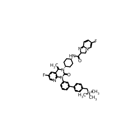 C=C1c2cc(F)cnc2N(c2cccc(-c3ccc(C[N+](C)(C)C)cc3)c2)C(=O)N1[C@H]1CC[C@@H](NC(=O)C2CN3C=C(F)C=CC3=N2)CC1